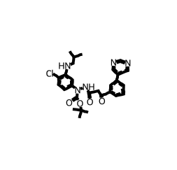 CC(C)CNc1cc(N(NC(=O)CC(=O)c2cccc(-c3cncnc3)c2)C(=O)OC(C)(C)C)ccc1Cl